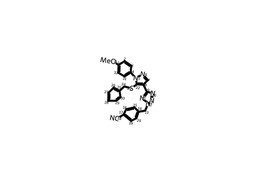 COc1ccc(-n2ncc(-c3nnn(Cc4ccc(C#N)cc4)n3)c2SCc2ccccc2)cc1